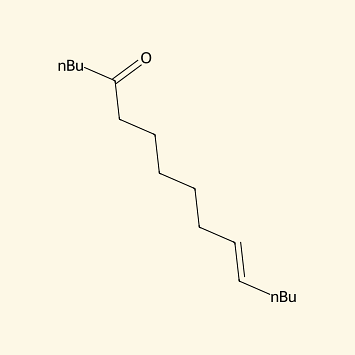 CCCCC=CCCCCCC(=O)CCCC